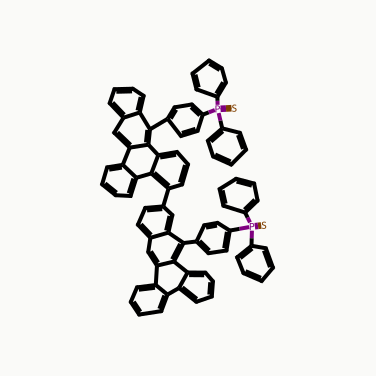 S=P(c1ccccc1)(c1ccccc1)c1ccc(-c2c3cc(-c4cccc5c4c4ccccc4c4cc6ccccc6c(-c6ccc(P(=S)(c7ccccc7)c7ccccc7)cc6)c45)ccc3cc3c4ccccc4c4ccccc4c23)cc1